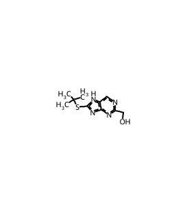 CC(C)(C)Sc1nc2nc(CO)ncc2[nH]1